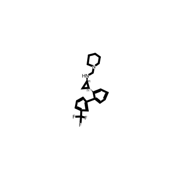 FC(F)(F)c1cccc(-c2ccccc2[C@@H]2C[C@H]2NCN2CCCCC2)c1